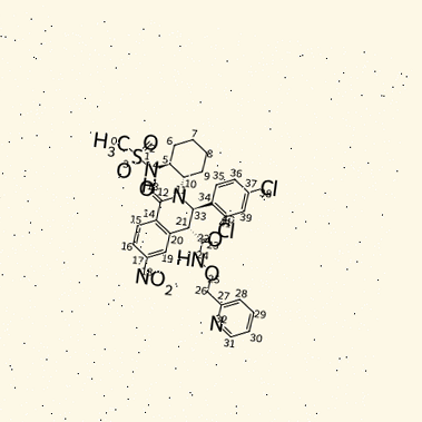 CS(=O)(=O)N[C@H]1CCCC[C@@H]1N1C(=O)c2ccc([N+](=O)[O-])cc2[C@@H](C(=O)NOCc2ccccn2)[C@@H]1c1ccc(Cl)cc1Cl